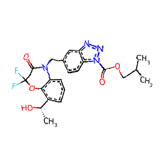 CC(C)COC(=O)n1nnc2cc(CN3C(=O)C(F)(F)Oc4c([C@H](C)O)cccc43)ccc21